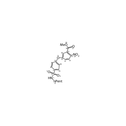 CCCCCNS(=O)(=O)c1ccc(Oc2ccc([N+](=O)[O-])c(C(=O)OC)c2)cc1